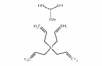 C=CC[N+](CC=C)(CC=C)CC=C.CC(=O)OP(O)O